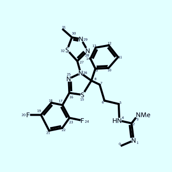 C/N=C(/NC)NCCCC1(c2ccccc2)SC(c2cc(F)ccc2F)=NN1c1nnc(C)s1